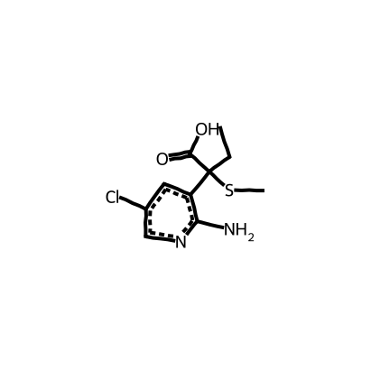 CCC(SC)(C(=O)O)c1cc(Cl)cnc1N